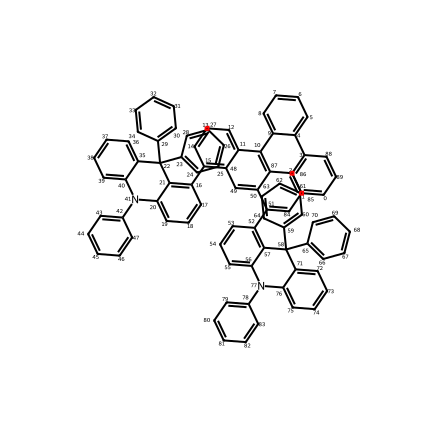 c1ccc(-c2ccccc2-c2c3cccc(-c4cccc5c4C(c4ccccc4)(c4ccccc4)c4ccccc4N5c4ccccc4)c3cc3c(-c4cccc5c4C(c4ccccc4)(c4ccccc4)c4ccccc4N5c4ccccc4)cccc23)cc1